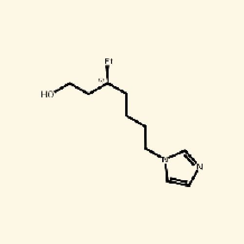 CC[C@H](CCO)CCCCn1ccnc1